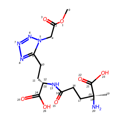 COC(=O)Cn1nnnc1CC[C@H](NC(=O)CC[C@](C)(N)C(=O)O)C(=O)O